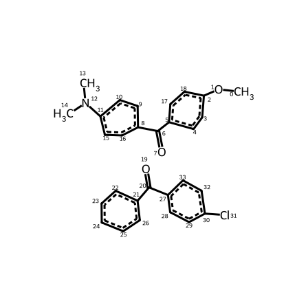 COc1ccc(C(=O)c2ccc(N(C)C)cc2)cc1.O=C(c1ccccc1)c1ccc(Cl)cc1